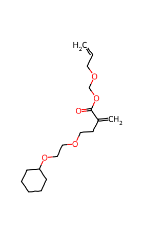 C=CCOCOC(=O)C(=C)CCOCCOC1CCCCC1